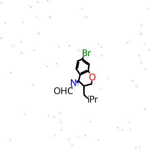 CC(C)CC1COc2cc(Br)ccc2/C1=N/C=O